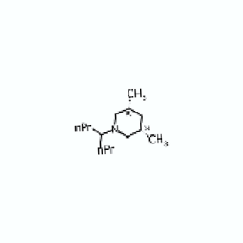 CCCC(CCC)N1C[C@H](C)C[C@H](C)C1